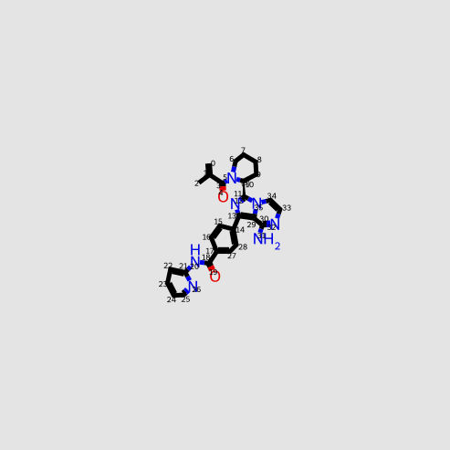 C=C(C)C(=O)N1CCCC[C@H]1c1nc(-c2ccc(C(=O)Nc3ccccn3)cc2)c2c(N)nccn12